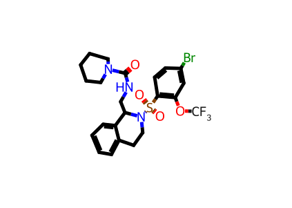 O=C(NCC1c2ccccc2CCN1S(=O)(=O)c1ccc(Br)cc1OC(F)(F)F)N1CCCCC1